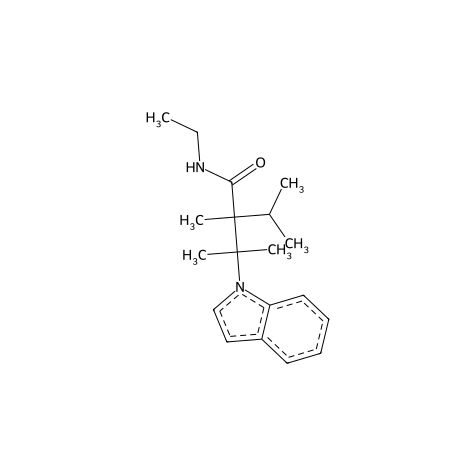 CCNC(=O)C(C)(C(C)C)C(C)(C)n1ccc2ccccc21